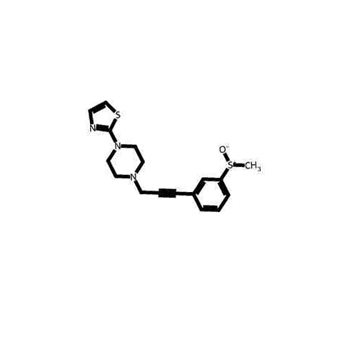 C[S+]([O-])c1cccc(C#CCN2CCN(c3nccs3)CC2)c1